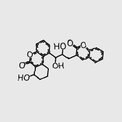 O=c1oc2ccccc2cc1CC(O)C(O)c1cccc2oc(=O)c3c(c12)CCCC3O